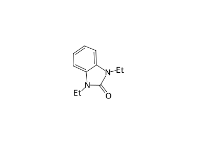 [CH2]Cn1c(=O)n(CC)c2ccccc21